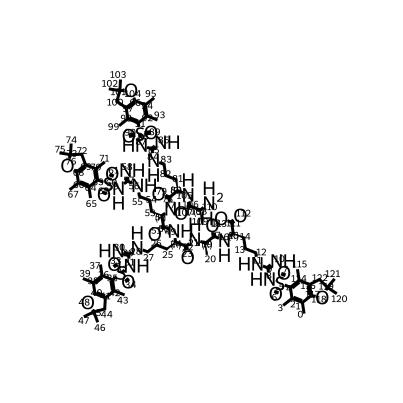 Cc1c(C)c(S(=O)(=O)NC(=N)NCCC[C@@H](NC(=O)[C@@H](C)NC(=O)[C@@H](CCCNC(=N)NS(=O)(=O)c2c(C)c(C)c3c(c2C)CC(C)(C)O3)NC(=O)[C@@H](CCCNC(=N)NS(=O)(=O)c2c(C)c(C)c3c(c2C)CC(C)(C)O3)NC(=O)[C@@H](CCCNC(=N)NS(=O)(=O)c2c(C)c(C)c3c(c2C)CC(C)(C)O3)NC(=O)[C@H](C)N)C(=O)O)c(C)c2c1OC(C)(C)C2